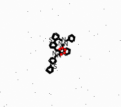 c1ccc(-c2nc(-c3ccccc3)nc(-c3cccc4sc5ccc(-c6nc(-c7ccc8c(c7)sc7ccccc78)nc7c6sc6ccccc67)cc5c34)n2)cc1